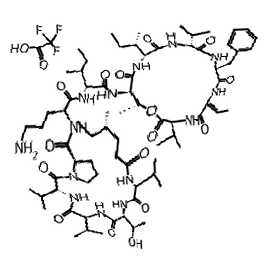 C/C=C1\NC(=O)[C@H](Cc2ccccc2)NC(=O)[C@@H](C(C)C)NC(=O)[C@@H]([C@@H](C)CC)NC(=O)[C@H](NC(=O)[C@H](NC(=O)[C@H](CCCN)NC(=O)[C@H]2CCCN2C(=O)[C@H](NC(=O)[C@@H](NC(=O)[C@@H](NC(=O)[C@H](NC(=O)CC[C@@H](C)CC)C(C)C)[C@@H](C)O)C(C)C)C(C)C)[C@@H](C)CC)[C@@H](C)OC(=O)[C@H](C(C)C)NC1=O.O=C(O)C(F)(F)F